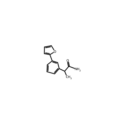 CC(C(N)=O)c1cccc(-c2ccco2)c1